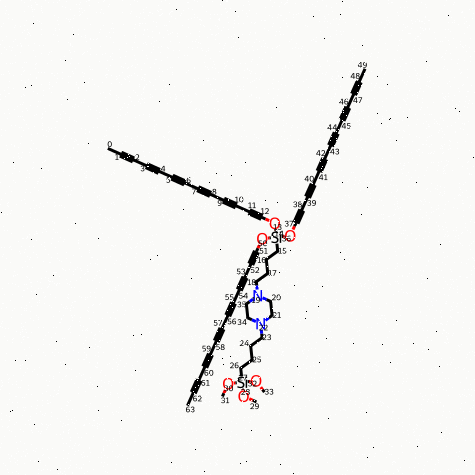 CC#CC#CC#CC#CC#CC#CO[Si](CCCCN1CCN(CCCC[Si](OC)(OC)OC)CC1)(OC#CC#CC#CC#CC#CC#CC)OC#CC#CC#CC#CC#CC#CC